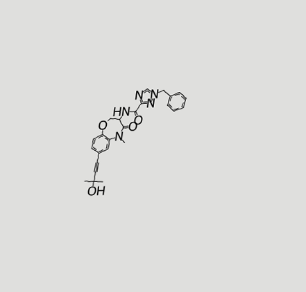 CN1C(=O)C(NC(=O)c2ncn(Cc3ccccc3)n2)COc2ccc(C#CC(C)(C)O)cc21